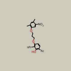 CCCc1c(OCCCOc2cc([N+](=O)[O-])c(C)cc2C)ccc(C(C)=O)c1O